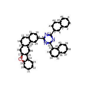 c1ccc2cc(-c3nc(-c4ccc5ccc6cc7oc8ccccc8c7cc6c5c4)nc(-c4cccc5ccccc45)n3)ccc2c1